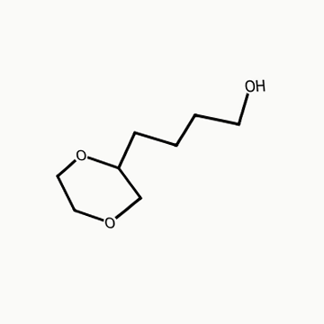 OCCCCC1COCCO1